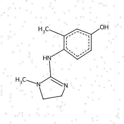 Cc1cc(O)ccc1NC1=NCCN1C